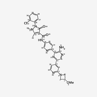 COC1CN(c2cc(-c3cnc(N)c(-c4ccc(NC(=O)c5c(C)n(C)n(-c6ccccc6Cl)c5=O)cn4)n3)ccn2)C1